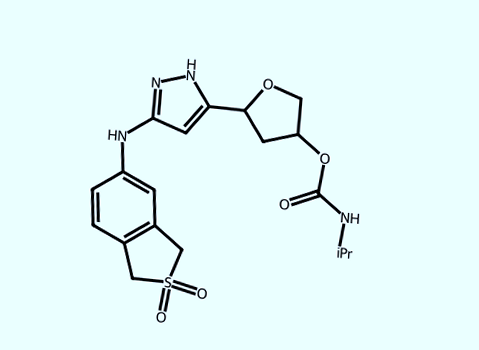 CC(C)NC(=O)OC1COC(c2cc(Nc3ccc4c(c3)CS(=O)(=O)C4)n[nH]2)C1